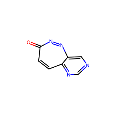 O=c1ccc2ncncc2nn1